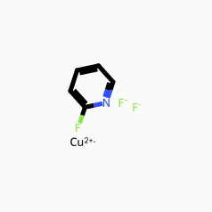 Fc1ccccn1.[Cu+2].[F-].[F-]